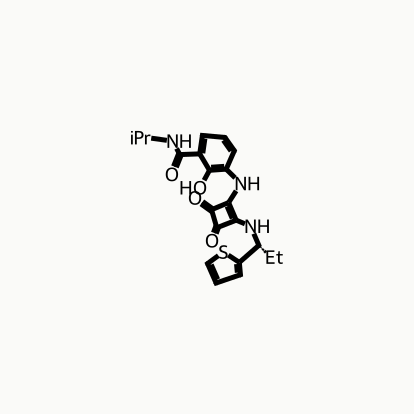 CC[C@@H](Nc1c(Nc2cccc(C(=O)NC(C)C)c2O)c(=O)c1=O)c1cccs1